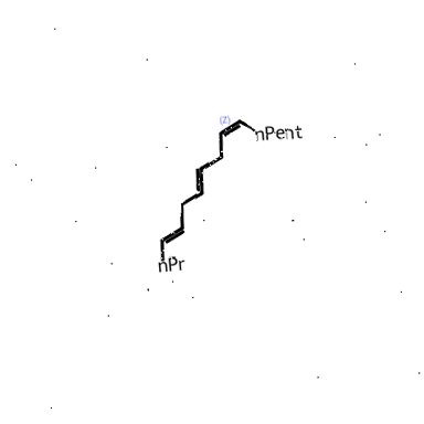 CCCC=CCC=CC/C=C\CCCCC